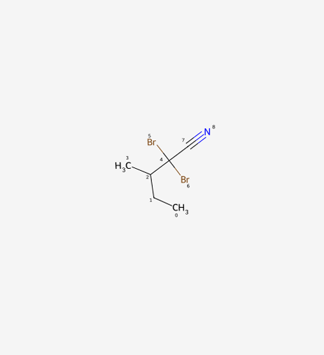 CCC(C)C(Br)(Br)C#N